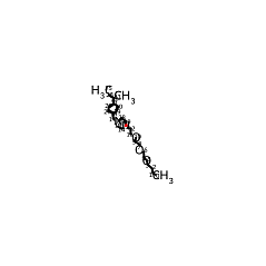 CCCCOCCOCCOCCN1CCN(Cc2ccc(C(C)CC)cc2)CC1